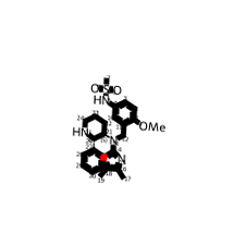 COc1ccc(NS(C)(=O)=O)cc1CN(c1nc(C)c(C)s1)[C@H]1CCCN[C@H]1c1ccccc1